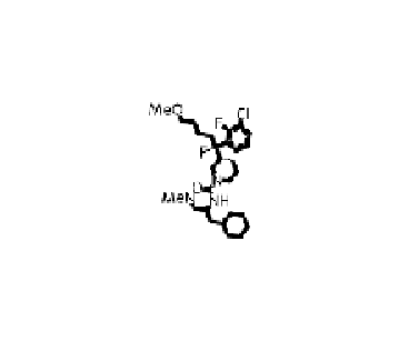 CNCC(CC1CCCCC1)NC(=O)N1CCC[C@@H]([C@@](F)(CCCCOC)c2cccc(Cl)c2F)C1